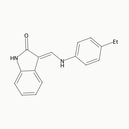 CCc1ccc(N/C=C2/C(=O)Nc3ccccc32)cc1